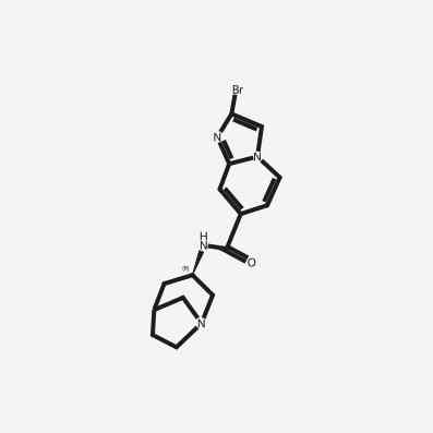 O=C(N[C@@H]1CC2CCN(C2)C1)c1ccn2cc(Br)nc2c1